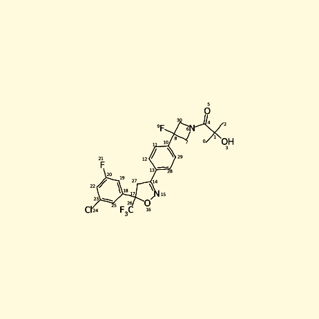 CC(C)(O)C(=O)N1CC(F)(c2ccc(C3=NOC(c4cc(F)cc(Cl)c4)(C(F)(F)F)C3)cc2)C1